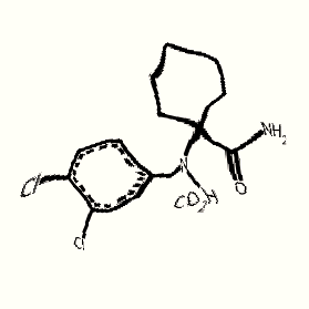 NC(=O)C1(N(C(=O)O)c2ccc(Cl)c(Cl)c2)CCCCC1